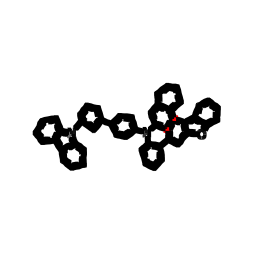 c1cc(-c2ccc(N(c3ccc4ccccc4c3)c3ccccc3-c3ccc4c(c3)oc3ccccc34)cc2)cc(-n2c3ccccc3c3ccccc32)c1